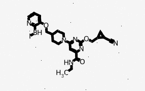 CCNC(=O)c1cc(N2CCC(COc3cccnc3BI)CC2)nc(OCC2CC2C#N)n1